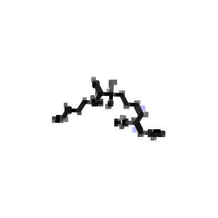 CCCOCCNC(=O)C(F)(F)CC/C=C\C(C)=C/NC